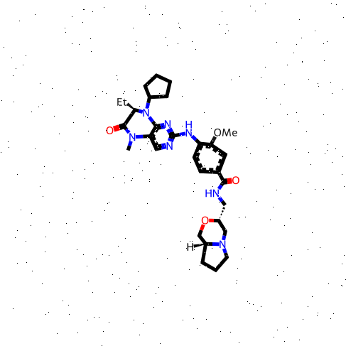 CC[C@@H]1C(=O)N(C)c2cnc(Nc3ccc(C(=O)NC[C@@H]4CN5CCC[C@@H]5CO4)cc3OC)nc2N1C1CCCC1